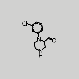 O=CC1CNCCN1c1cccc(Cl)c1